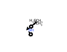 C[Si](C)(C)C#Cc1ccc(C2(NCc3ccccc3)CC2)cc1